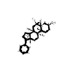 C[C@]12CC[C@H]3[C@@H](C[C@@H]4O[C@@]45C[C@@H](O)CC[C@]35C)[C@@H]1CC=C2c1ccccc1